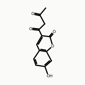 CC(=O)CC(=O)c1cc2ccc(O)cc2oc1=O